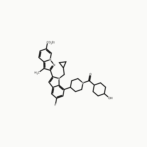 CCOC(=O)c1ccc2c(C)c(-c3cc4cc(F)cc(C5CCN(C(=O)C6CCC(O)CC6)CC5)c4n3CC3CC3)nn2c1